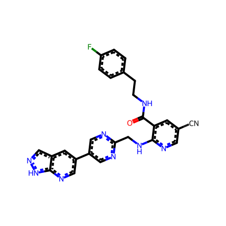 N#Cc1cnc(NCc2ncc(-c3cnc4[nH]ncc4c3)cn2)c(C(=O)NCCc2ccc(F)cc2)c1